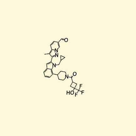 Cc1c(-c2cc3cccc(C4CCN(C(=O)C5CC(O)(C(F)(F)F)C5)CC4)c3n2CC2CC2)nn2cc(C=O)ccc12